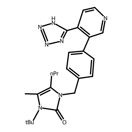 CCCc1c(C)n(C(C)(C)C)c(=O)n1Cc1ccc(-c2cnccc2-c2nnn[nH]2)cc1